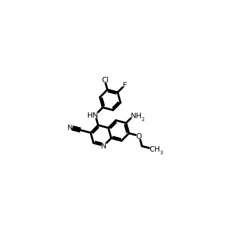 CCOc1cc2ncc(C#N)c(Nc3ccc(F)c(Cl)c3)c2cc1N